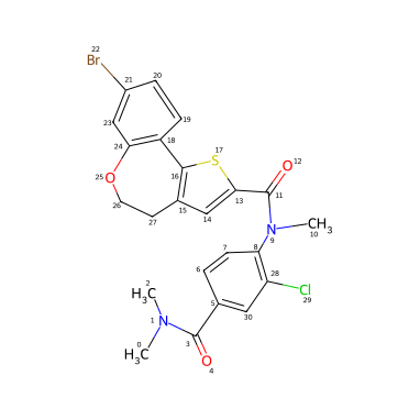 CN(C)C(=O)c1ccc(N(C)C(=O)c2cc3c(s2)-c2ccc(Br)cc2OCC3)c(Cl)c1